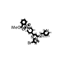 COC(=O)c1ccccc1S(=O)(=O)N1CCC(c2cc(NCc3cccnc3)n3ncc(Br)c3n2)CC1